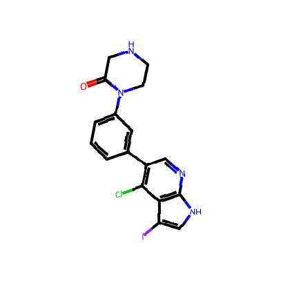 O=C1CNCCN1c1cccc(-c2cnc3[nH]cc(I)c3c2Cl)c1